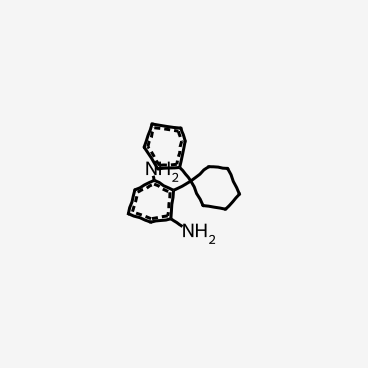 Nc1cccc(N)c1C1(c2ccccc2)CCCCC1